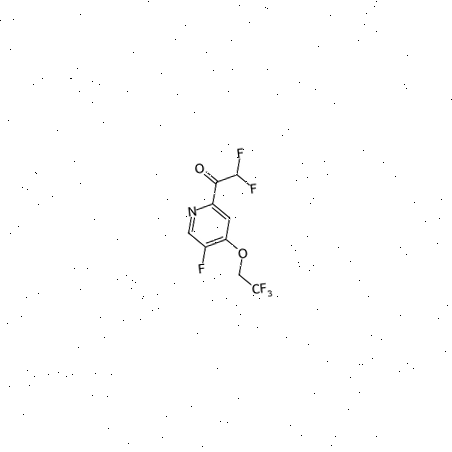 O=C(c1cc(OCC(F)(F)F)c(F)cn1)C(F)F